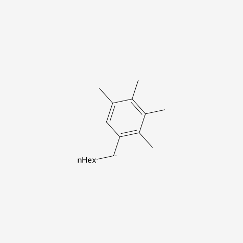 CCCCCC[CH]c1cc(C)c(C)c(C)c1C